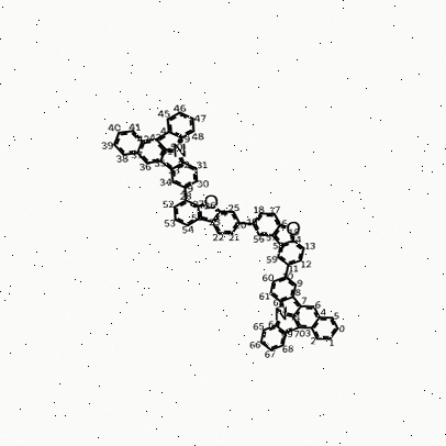 c1ccc2c(c1)cc1c3cc(-c4ccc5oc6ccc(-c7ccc8c(c7)oc7c(-c9ccc%10c(c9)c9cc%11ccccc%11c%11c%12ccccc%12n%10c9%11)cccc78)cc6c5c4)ccc3n3c4ccccc4c2c13